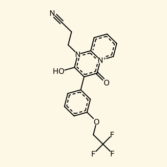 N#CCCn1c(O)c(-c2cccc(OCC(F)(F)F)c2)c(=O)[n+]2ccccc12